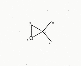 CC1(C)[CH]O1